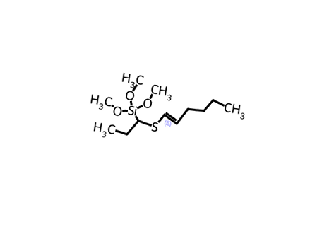 CCCC/C=C/SC(CC)[Si](OC)(OC)OC